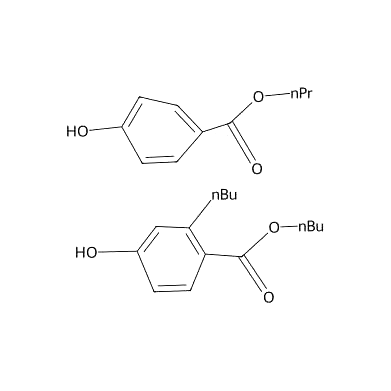 CCCCOC(=O)c1ccc(O)cc1CCCC.CCCOC(=O)c1ccc(O)cc1